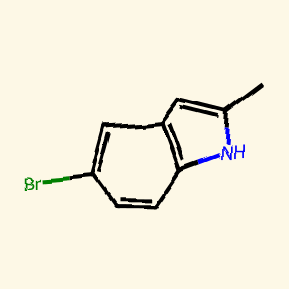 Cc1cc2cc(Br)ccc2[nH]1